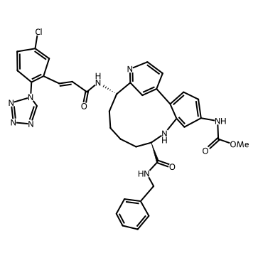 COC(=O)Nc1ccc2c(c1)N[C@@H](C(=O)NCc1ccccc1)CCCC[C@H](NC(=O)/C=C/c1cc(Cl)ccc1-n1cnnn1)c1cc-2ccn1